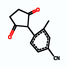 Cc1cc(C#N)ccc1C1C(=O)CCC1=O